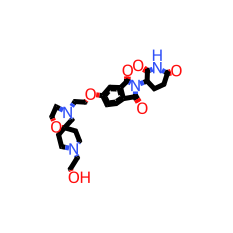 O=C1CCC(N2C(=O)c3ccc(OCCN4CCOC5(CCN(CCO)CC5)C4)cc3C2=O)C(=O)N1